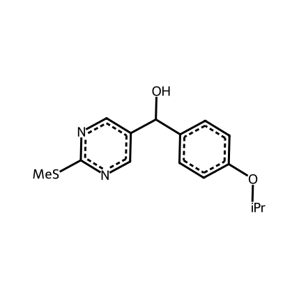 CSc1ncc(C(O)c2ccc(OC(C)C)cc2)cn1